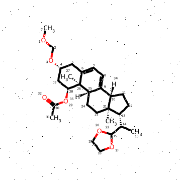 COCO[C@@H]1CC2=CC=C3[C@@H]4CC[C@H](C(C)C5OCCO5)[C@@]4(C)CC[C@@H]3[C@@]2(C)[C@@H](OC(C)=O)C1